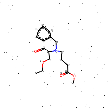 CCOCC(C=O)N(CCCC(=O)OC)Cc1ccccc1